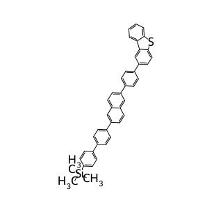 C[Si](C)(C)c1ccc(-c2ccc(-c3ccc4cc(-c5ccc(-c6ccc7sc8ccccc8c7c6)cc5)ccc4c3)cc2)cc1